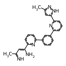 CC(=N)/C=C(\N)c1cccc(-c2cccc(-c3cccc(-c4cc(C)n[nH]4)n3)c2)n1